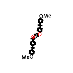 COc1ccc(C(C)(C)c2ccc(OC(C)(C)[Si](C)(C)OC(C)(C)c3ccc(C(C)(C)c4ccc(OC)cc4)cc3)cc2)cc1